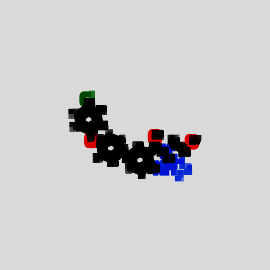 Nc1ccc(-c2ccc(Oc3ccc(Cl)cc3)cc2)cc1C(=O)N(N)CC=O